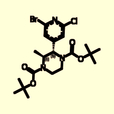 C[C@H]1[C@H](c2cc(Cl)nc(Br)c2)N(C(=O)OC(C)(C)C)CCN1C(=O)OC(C)(C)C